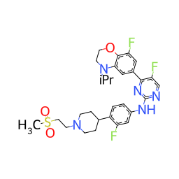 CC(C)N1CCOc2c(F)cc(-c3nc(Nc4ccc(C5CCN(CCS(C)(=O)=O)CC5)c(F)c4)ncc3F)cc21